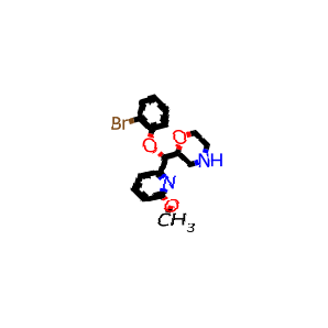 COc1cccc(C(Oc2ccccc2Br)C2CNCCO2)n1